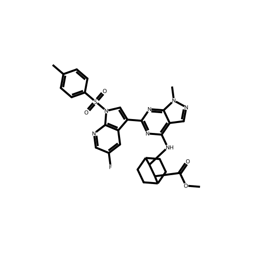 COC(=O)C1C2CCC(CC2)C1Nc1nc(-c2cn(S(=O)(=O)c3ccc(C)cc3)c3ncc(F)cc23)nc2c1cnn2C